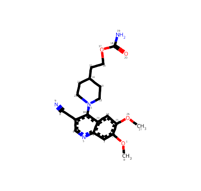 COc1cc2ncc(C#N)c(N3CCC(CCOC(N)=O)CC3)c2cc1OC